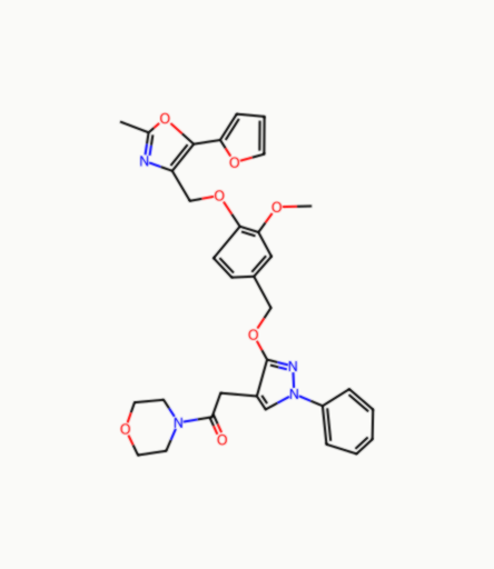 COc1cc(COc2nn(-c3ccccc3)cc2CC(=O)N2CCOCC2)ccc1OCc1nc(C)oc1-c1ccco1